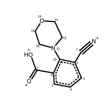 N#Cc1cccc(C(=O)O)c1N1CCOCC1